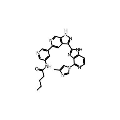 CCCCC(=O)Nc1cncc(-c2cc3c(-c4nc5c(-n6cnc(C)c6)nccc5[nH]4)n[nH]c3cn2)c1